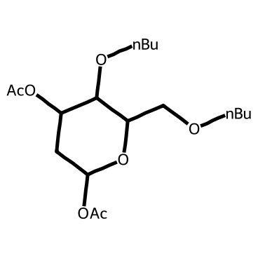 CCCCOCC1OC(OC(C)=O)CC(OC(C)=O)C1OCCCC